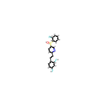 [O-][S+](c1ccc(C=Cc2ccc(F)cc2F)nc1)c1ccccc1F